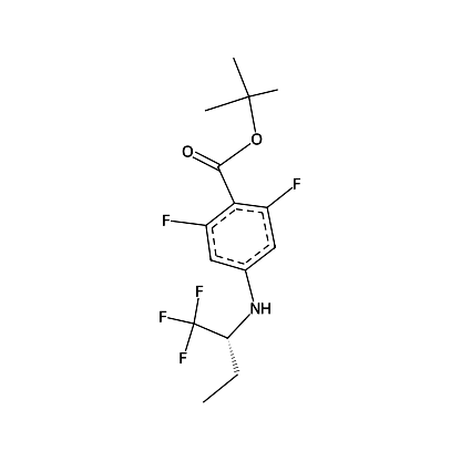 CC[C@@H](Nc1cc(F)c(C(=O)OC(C)(C)C)c(F)c1)C(F)(F)F